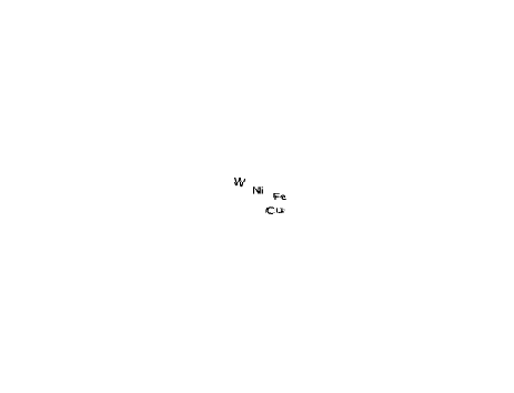 [Cu].[Fe].[Ni].[W]